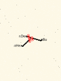 CCCC/C=C\CCCCCCCC(=O)O[C@@H](COC(=O)CCCCCCC/C=C\CCCCCC)COC(=O)CCCCCCCCCCC